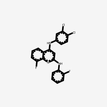 Fc1ccccc1Nc1cc(Nc2ccc(Cl)c(Cl)c2)c2cccc(F)c2n1